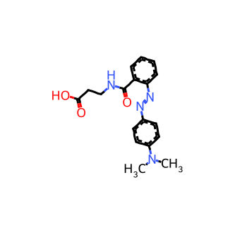 CN(C)c1ccc(N=Nc2ccccc2C(=O)NCCC(=O)O)cc1